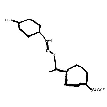 CNC1CCC(B(I)SONC2CCC(O)CC2)CC1